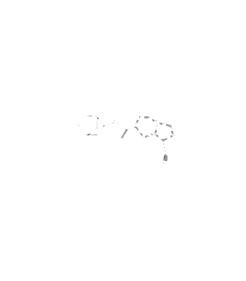 N#Cc1ccn2cnc(C(=O)NC3CC4CC3CN4)cc12